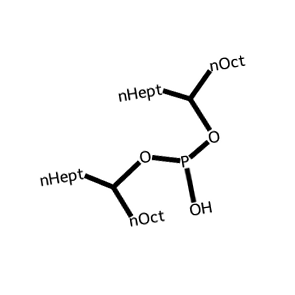 CCCCCCCCC(CCCCCCC)OP(O)OC(CCCCCCC)CCCCCCCC